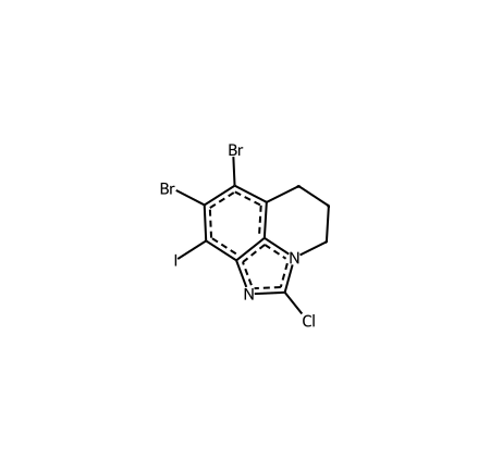 Clc1nc2c(I)c(Br)c(Br)c3c2n1CCC3